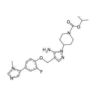 CC(C)OC(=O)N1CCC(n2ncc(COc3ccc(-c4cncn4C)cc3F)c2N)CC1